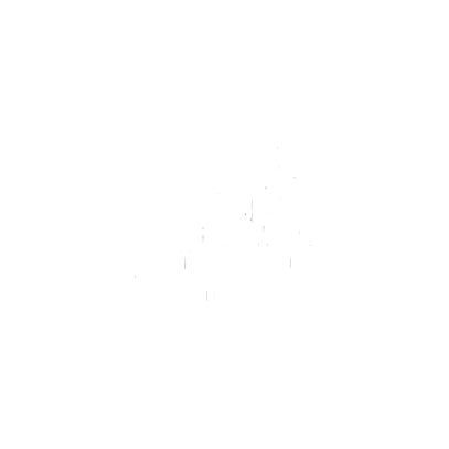 CCOC(=O)C(C)Cc1ccc(F)c(NC(=O)[C@H](c2ccc(Cl)cc2)[C@@H](C)C(F)(F)F)c1